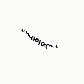 CCCCCCCc1cnc(-c2ccc(OC(=O)[C@H]3CC[C@@](C#N)(CCCCCCC)CC3)cc2)nc1